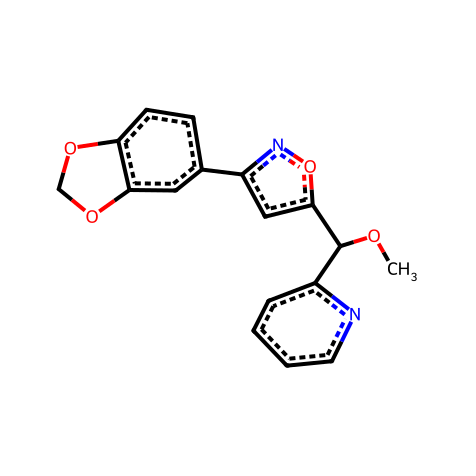 COC(c1ccccn1)c1cc(-c2ccc3c(c2)OCO3)no1